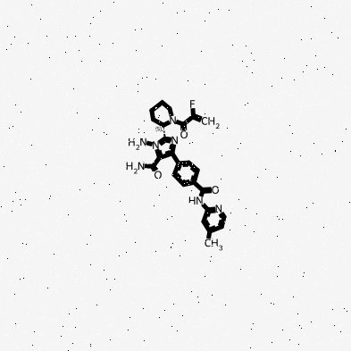 C=C(F)C(=O)N1CCCC[C@H]1c1nc(-c2ccc(C(=O)Nc3cc(C)ccn3)cc2)c(C(N)=O)n1N